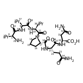 CC(C)[C@H](N)C(=O)N[C@H](C(=O)N[C@H](C(=O)N1CCC[C@H]1C(=O)N[C@@H](CCC(N)=O)C(=O)N[C@@H](CC(N)=O)C(=O)O)C(C)C)C(C)C